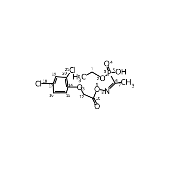 CCOP(=O)(O)C(C)=NOC(=O)COc1ccc(Cl)cc1Cl